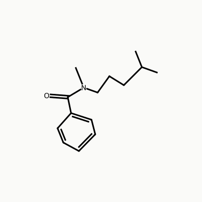 CC(C)CCCN(C)C(=O)c1ccccc1